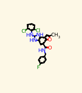 Cc1cc2c3c(cc(C(=O)NCc4ccc(F)cc4)c2o1)NC(Nc1c(Cl)cccc1Cl)N3